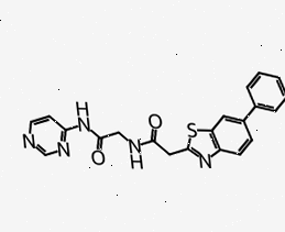 O=C(Cc1nc2ccc(-c3ccccc3)cc2s1)NCC(=O)Nc1ccncn1